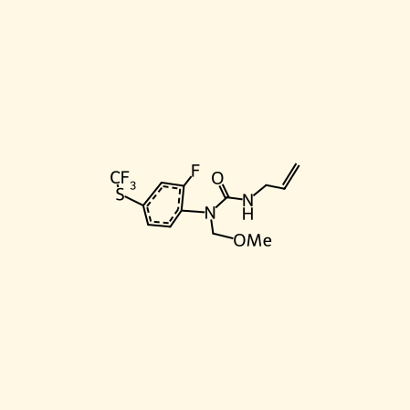 C=CCNC(=O)N(COC)c1ccc(SC(F)(F)F)cc1F